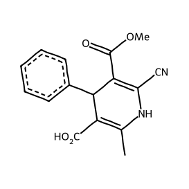 COC(=O)C1=C(C#N)NC(C)=C(C(=O)O)C1c1ccccc1